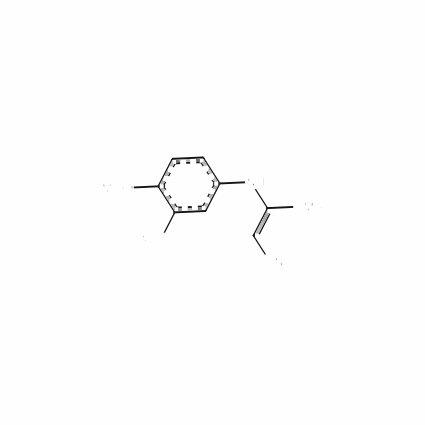 COc1ccc(NC(=CC#N)SC)cc1OC(C)=O